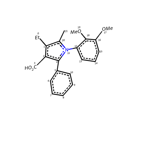 CCc1c(C(=O)O)c(-c2ccccc2)n(-c2cccc(OC)c2OC)c1C